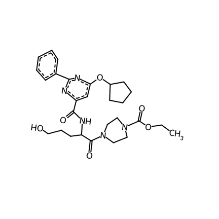 CCOC(=O)N1CCN(C(=O)C(CCCO)NC(=O)c2cc(OC3CCCC3)nc(-c3ccccc3)n2)CC1